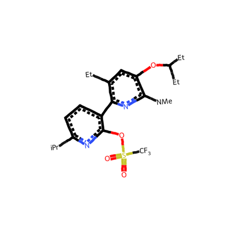 CCc1cc(OC(CC)CC)c(NC)nc1-c1ccc(C(C)C)nc1OS(=O)(=O)C(F)(F)F